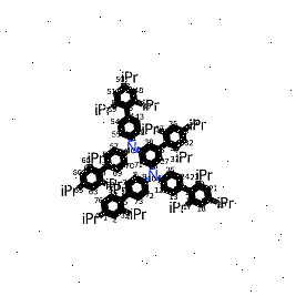 CC(C)c1cc(C(C)C)c(-c2ccc(N(c3ccc(-c4c(C(C)C)cc(C(C)C)cc4C(C)C)cc3)c3cc(-c4c(C(C)C)cc(C(C)C)cc4C(C)C)cc(N(c4ccc(-c5c(C(C)C)cc(C(C)C)cc5C(C)C)cc4)c4ccc(-c5c(C(C)C)cc(C(C)C)cc5C(C)C)cc4)c3)cc2)c(C(C)C)c1